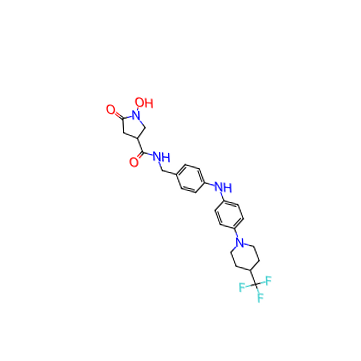 O=C(NCc1ccc(Nc2ccc(N3CCC(C(F)(F)F)CC3)cc2)cc1)C1CC(=O)N(O)C1